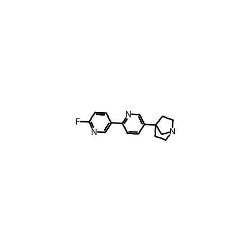 Fc1ccc(-c2ccc(C34CCN(CC3)C4)cn2)cn1